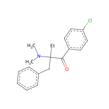 CCC(Cc1ccccc1)(C(=O)c1ccc(Cl)cc1)N(C)C